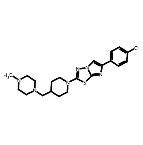 CN1CCN(CC2CCN(c3nn4cc(-c5ccc(Cl)cc5)nc4s3)CC2)CC1